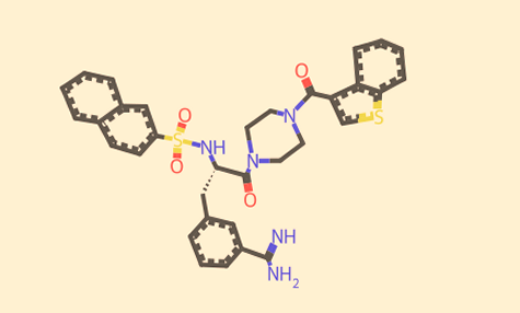 N=C(N)c1cccc(C[C@H](NS(=O)(=O)c2ccc3ccccc3c2)C(=O)N2CCN(C(=O)c3csc4ccccc34)CC2)c1